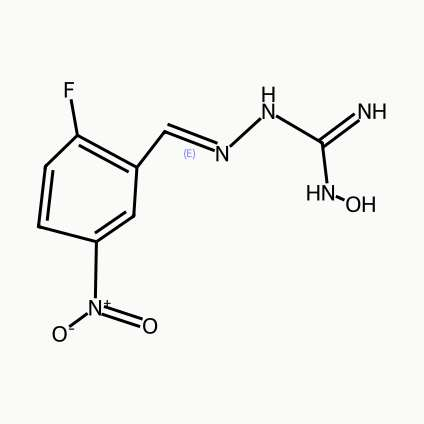 N=C(NO)N/N=C/c1cc([N+](=O)[O-])ccc1F